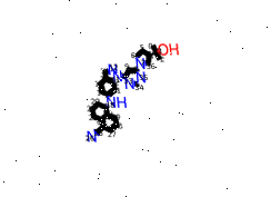 CC(C)(O)[C@@H]1CCN(c2cc(-n3ncc4ccc(NC5CCCc6c(C#N)cccc65)cc43)ncn2)C1